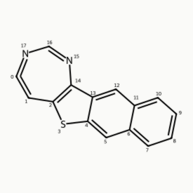 C1=Cc2sc3cc4ccccc4cc3c2N=CN=1